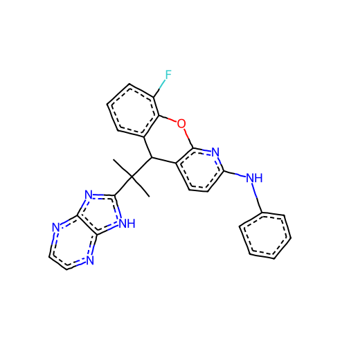 CC(C)(c1nc2nccnc2[nH]1)C1c2ccc(Nc3ccccc3)nc2Oc2c(F)cccc21